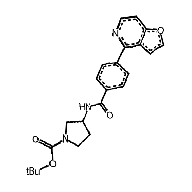 CC(C)(C)OC(=O)N1CCC(NC(=O)c2ccc(-c3nccc4occc34)cc2)C1